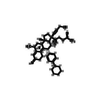 CC(=O)OCC(=O)[C@@]1(C#CCO)CC[C@H]2[C@@H]3CC(C)C4=CC(=O)CCC4=C3[C@@H](c3ccc(N4CCCCC4)cc3)C[C@@]21C